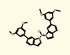 COc1cc(OC)cc(-c2ccc3ccn(P(Cl)n4ccc5ccc(-c6cc(OC)cc(OC)c6)cc54)c3c2)c1